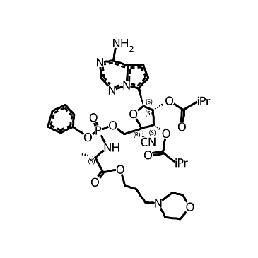 CC(C)C(=O)O[C@H]1[C@H](c2ccc3c(N)ncnn23)O[C@](C#N)(COP(=O)(N[C@@H](C)C(=O)OCCCN2CCOCC2)Oc2ccccc2)[C@H]1OC(=O)C(C)C